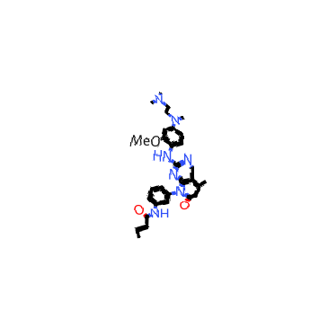 CC=CC(=O)Nc1cccc(-n2c(=O)cc(C)c3cnc(Nc4ccc(N(C)CCN(C)C)cc4OC)nc32)c1